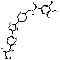 CC(C)(C)C(=O)Nc1ccc(-c2noc(C3CCC(CNC(=O)c4cc(F)c(O)c(F)c4)CC3)n2)nn1